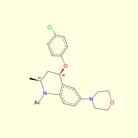 CC(=O)N1c2ccc(N3CCOCC3)cc2[C@H](Oc2ccc(Cl)cc2)C[C@@H]1C